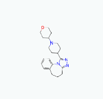 c1ccc2c(c1)CCCc1nnc(C3CCN(C4CCOCC4)CC3)n1-2